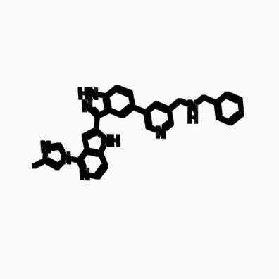 Cc1cn(-c2nccc3[nH]c(-c4n[nH]c5ccc(-c6cncc(CNCc7ccccc7)c6)cc45)cc23)cn1